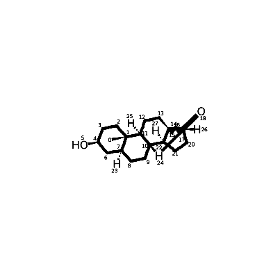 C[C@]12CC[C@H](O)C[C@@H]1CC[C@@H]1[C@@H]2CC[C@]23CCC(=O)[C@H]2CC[C@@H]13